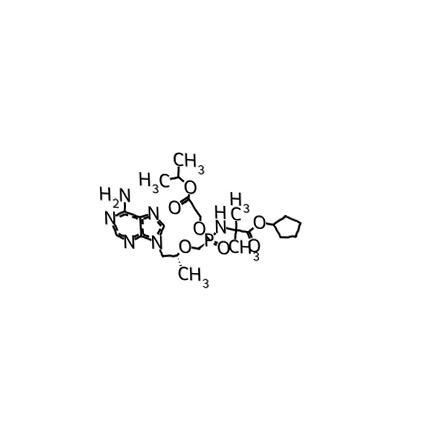 CC(C)OC(=O)CO[P@](=O)(CO[C@H](C)Cn1cnc2c(N)ncnc21)NC(C)(C)C(=O)OC1CCCC1